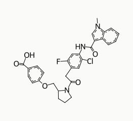 Cn1cc(C(=O)Nc2cc(F)c(CC(=O)N3CCCC3COc3ccc(C(=O)O)cc3)cc2Cl)c2ccccc21